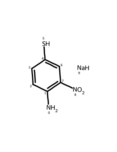 Nc1ccc(S)cc1[N+](=O)[O-].[NaH]